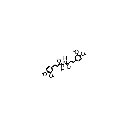 COc1ccc(/C=C/C(=O)NNC(=O)/C=C/c2ccc(OC)c(OC)c2)cc1OC